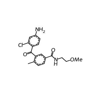 COCCNC(=O)c1ccc(C)c(C(=O)c2ccc(N)cc2Cl)c1